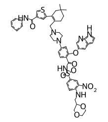 CC1(C)CCC(CN2CCN(c3ccc(C(=O)NS(=O)(=O)c4ccc(NCC5COCCO5)c([N+](=O)[O-])c4)c(Oc4cnc5[nH]ccc5c4)c3)CC2)=C(c2cc(C(=O)Nc3ccccc3)cs2)C1